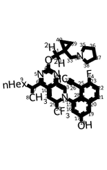 [2H]C([2H])(Oc1nc(C(C)CCCCCC)c2c(n1)=CN(c1cc(O)cc3ccc(F)c(C#C)c13)C(C(F)(F)F)C=2)C1(CN2CCCC2)CC1